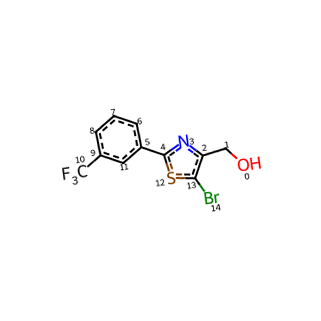 OCc1nc(-c2cccc(C(F)(F)F)c2)sc1Br